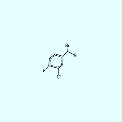 Fc1ccc(C(Br)Br)cc1Cl